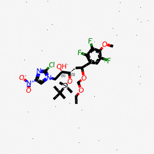 CCOCOC(C[C@H](O[Si](C)(C)C(C)(C)C)[C@@H](O)Cn1cc([N+](=O)[O-])nc1Cl)c1cc(F)c(OC)c(F)c1F